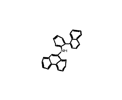 c1ccc(-c2cccc3ccccc23)c(Nc2cc3ccccc3c3ccccc23)c1